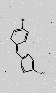 COc1ccc(C=C2C=CC(N)=CC2)cc1